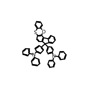 c1ccc(N(c2ccccc2)c2ccc(C3(c4ccc(N(c5ccccc5)c5ccccc5)cc4)c4ccccc4-c4c3ccc3c4Oc4ccccc4S3)cc2)cc1